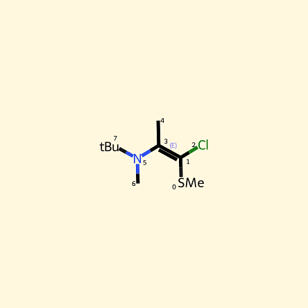 CS/C(Cl)=C(/C)N(C)C(C)(C)C